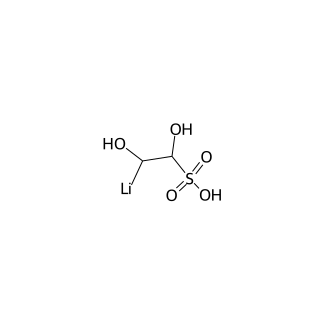 [Li][CH](O)C(O)S(=O)(=O)O